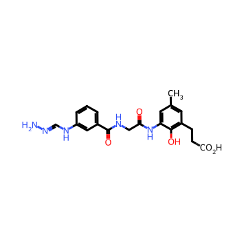 Cc1cc(CCC(=O)O)c(O)c(NC(=O)CNC(=O)c2cccc(NC=NN)c2)c1